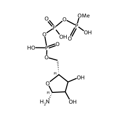 COP(=O)(O)OP(=O)(O)OP(=O)(O)OC[C@H]1O[C@@H](N)C(O)C1O